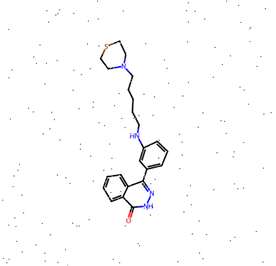 O=c1[nH]nc(-c2cccc(NCCCCCN3CCSCC3)c2)c2ccccc12